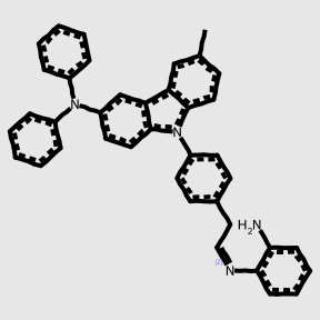 Cc1ccc2c(c1)c1cc(N(c3ccccc3)c3ccccc3)ccc1n2-c1ccc(C/C=N\c2ccccc2N)cc1